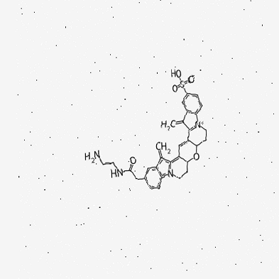 C=C1C2=[N+](CCC3OC4CCn5c(c(=C)c6cc(CC(=O)NCCN)ccc65)=C4C=C23)c2ccc(S(=O)(=O)O)cc21